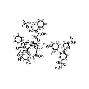 CC(=O)O[C@@]12CO[C@@H]1C[C@H](O)[C@@]1(C)C(=O)[C@H](O)C3=C(C)[C@@H](OC(=O)C(O)[C@@H](NC(=O)OC(C)(C)C)c4ccccc4)C[C@@](O)([C@@H](OC(=O)c4ccccc4)[C@H]21)C3(C)C.COc1ccc(-c2cc(C(F)F)nn2-c2ccc(S(N)(=O)=O)cc2)cc1F